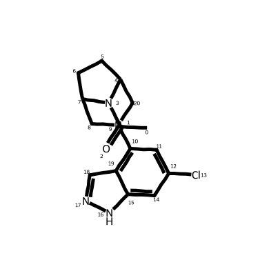 CC(=O)N1C2CCC1CN(c1cc(Cl)cc3[nH]ncc13)C2